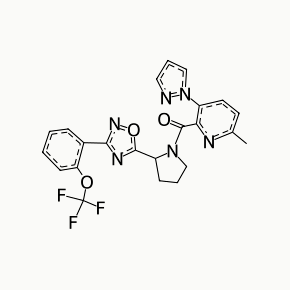 Cc1ccc(-n2cccn2)c(C(=O)N2CCCC2c2nc(-c3ccccc3OC(F)(F)F)no2)n1